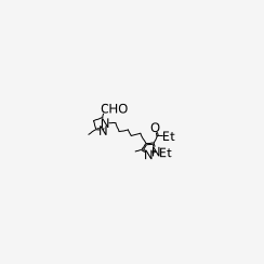 CCC(=O)c1c(CCCCCN2N=C(C)CC2C=O)c(C)nn1CC